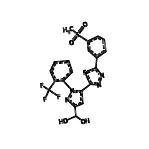 CS(=O)(=O)c1cccc(-c2nnc(-c3cc(C(O)O)nn3-c3ccccc3C(F)(F)F)s2)c1